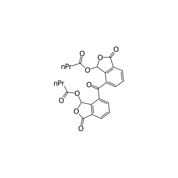 CCCC(=O)OC1OC(=O)c2cccc(C(=O)c3cccc4c3C(OC(=O)CCC)OC4=O)c21